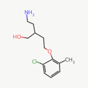 Cc1cccc(Cl)c1OCCC(CO)CCN